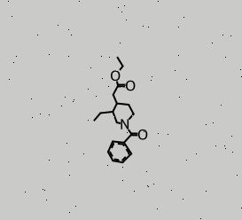 CCOC(=O)CC1CCN(C(=O)c2ccccc2)CC1CC